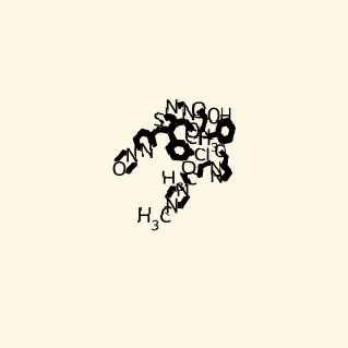 CCCCn1nccc1COc1ccccc1C[C@@H](Oc1ncnc2sc(-c3ccc(N4CCOCC4)nc3)c(-c3ccc(OCCN4CCN(C)CC4)c(Cl)c3C)c12)C(=O)O